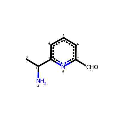 CC(N)c1cccc(C=O)n1